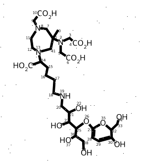 CC1(N(CC(=O)O)CC(=O)O)CN(CC(=O)O)CCN(C(CCCCNCC(O)C(O)C(OC2=CC=C(O)C(CO)O2)C(O)CO)C(=O)O)C1